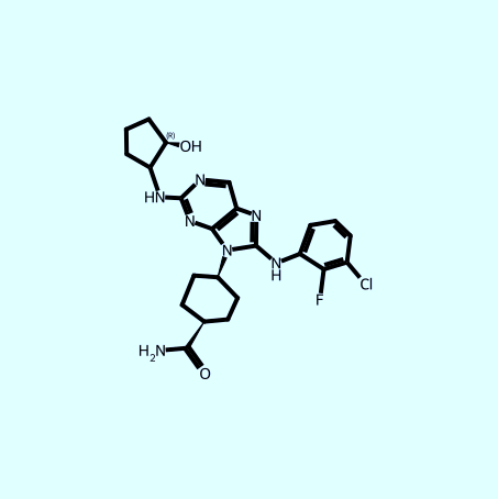 NC(=O)[C@H]1CC[C@@H](n2c(Nc3cccc(Cl)c3F)nc3cnc(NC4CCC[C@H]4O)nc32)CC1